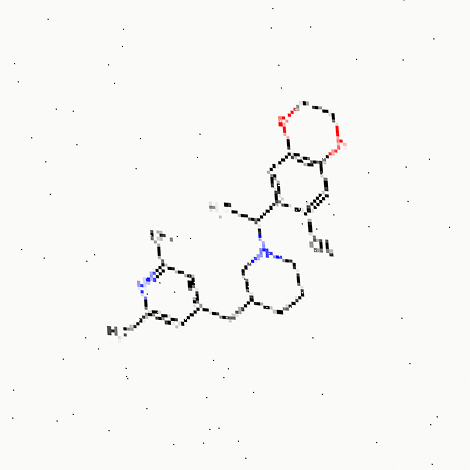 Cc1cc(CC2CCCN(C(C)c3cc4c(cc3C)OCCO4)C2)cc(C)n1